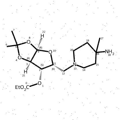 CCOC(=O)O[C@@H]1[C@H]2OC(C)(C)O[C@H]2O[C@@H]1CN1CCC(C)(N)CC1